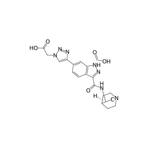 O=C(O)Cn1cc(-c2ccc3c(C(=O)N[C@H]4CN5CCC4CC5)n[nH]c3c2)nn1.O=CO